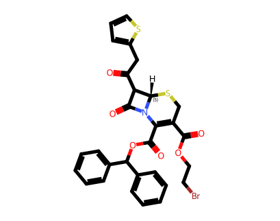 O=C(OCCBr)C1=C(C(=O)OC(c2ccccc2)c2ccccc2)N2C(=O)C(C(=O)Cc3cccs3)[C@@H]2SC1